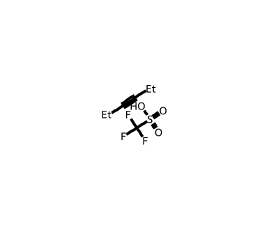 CCC#CCC.O=S(=O)(O)C(F)(F)F